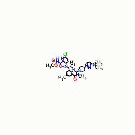 Cc1cc([C@@H](C)Nc2ccc(Cl)nc2C(=O)NS(C)(=O)=O)c2nc(N3CCC(n4ccc(N(C)C)n4)CC3)n(C)c(=O)c2c1